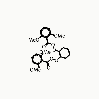 COc1cccc(OC)c1C(=O)OO[C]1CC[CH]CC1OOC(=O)c1c(OC)cccc1OC